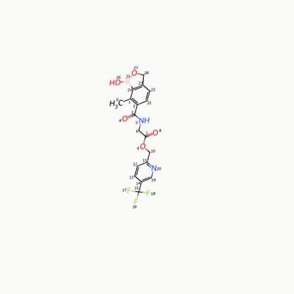 Cc1c(C(=O)NCC(=O)OCc2ccc(C(F)(F)F)cn2)ccc2c1B(O)OC2